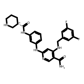 NC(=O)c1cnc(Nc2cccc(NC(=O)[C@H]3CCCNC3)c2)cc1NCc1cc(F)cc(F)c1